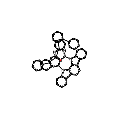 c1ccc(-c2cc(-c3ccccc3)cc(-n3c4ccccc4c4ccc5c6ccccc6n(-c6nc(-c7ccccc7)nc(-c7ccccc7-c7ccccc7)n6)c5c43)c2)cc1